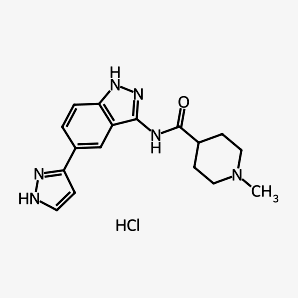 CN1CCC(C(=O)Nc2n[nH]c3ccc(-c4cc[nH]n4)cc23)CC1.Cl